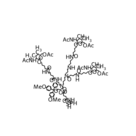 COc1ccc(C(OCC(OC(=O)CCC(=O)N[SH](=P)=S)C(=O)N(CCCCN(CCCNCCCCNC(=O)CCCCOC2OC(COC(C)=O)C(C)C(C)C2NC(C)=O)C(=O)CCCNC(=O)CCCCOC2OC(COC(C)=O)C(C)C(C)C2NC(C)=O)CCCNC(=O)CCCNC(=O)CCCCOC2OC(COC(C)=O)C(C)C(C)C2NC(C)=O)(c2ccccc2)c2ccc(OC)cc2)cc1